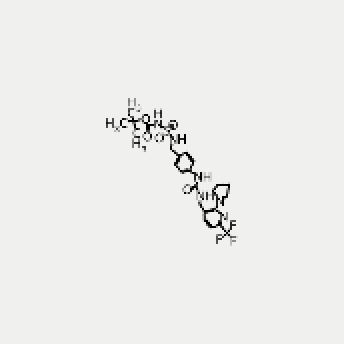 CC(C)(C)OC(=O)NS(=O)(=O)NCc1ccc(NC(=O)NCc2ccc(C(F)(F)F)nc2N2CCCC2)cc1